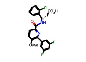 COc1ccc(C(=O)N[C@@H](CC(=O)O)c2ccccc2Cl)nc1-c1cc(F)cc(F)c1